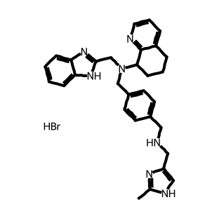 Br.Cc1nc(CNCc2ccc(CN(Cc3nc4ccccc4[nH]3)C3CCCc4cccnc43)cc2)c[nH]1